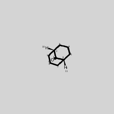 O=C1[C@H]2CCC[C@@H]1CCC2